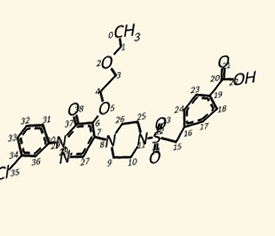 CCOCCOc1c(N2CCN(S(=O)(=O)Cc3ccc(C(=O)O)cc3)CC2)cnn(-c2cccc(Cl)c2)c1=O